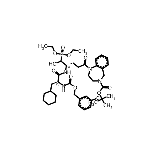 CCOP(=O)(OCC)C(O)[C@H](CCC(=O)N1CCN(C(=O)OC(C)(C)C)Cc2ccccc21)NC(=O)[C@H](CC1CCCCC1)NC(=O)OCc1cccc(Cl)c1